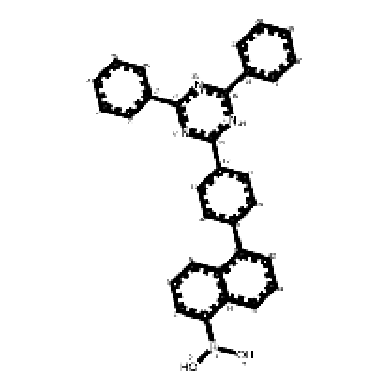 OB(O)c1cccc2c(-c3ccc(-c4nc(-c5ccccc5)nc(-c5ccccc5)n4)cc3)cccc12